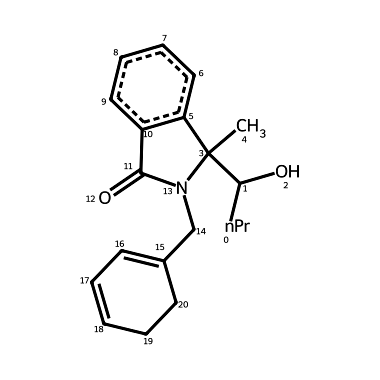 CCCC(O)C1(C)c2ccccc2C(=O)N1CC1=CC=CCC1